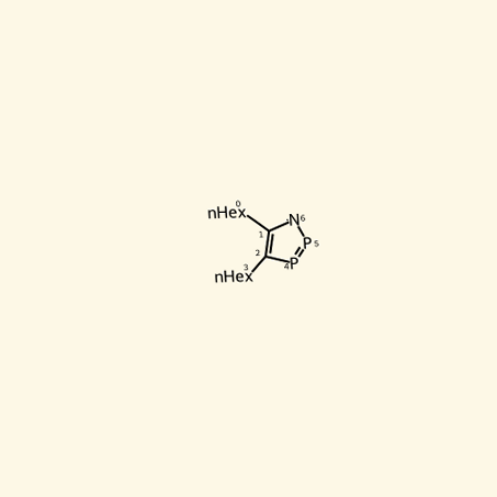 CCCCCCC1=C(CCCCCC)P=P[N]1